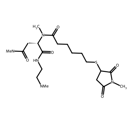 CNCCNC(=O)[C@H](CC(=O)NC)N(C)C(=O)CCCCCSC1CC(=O)N(C)C1=O